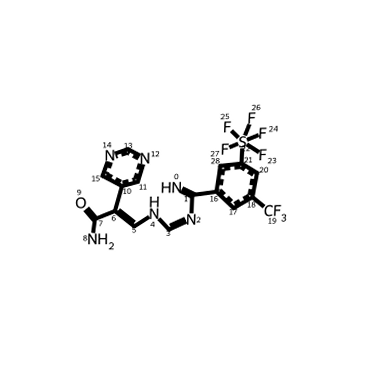 N=C(/N=C\N/C=C(/C(N)=O)c1cncnc1)c1cc(C(F)(F)F)cc(S(F)(F)(F)(F)F)c1